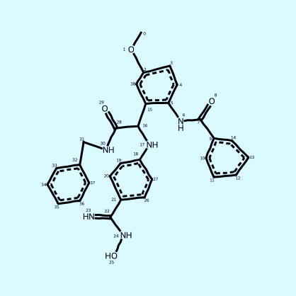 COc1ccc(NC(=O)c2ccccc2)c(C(Nc2ccc(C(=N)NO)cc2)C(=O)NCc2ccccc2)c1